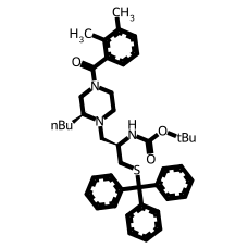 CCCC[C@H]1CN(C(=O)c2cccc(C)c2C)CCN1C[C@H](CSC(c1ccccc1)(c1ccccc1)c1ccccc1)NC(=O)OC(C)(C)C